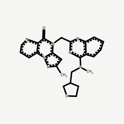 Cc1cc2n(Cc3nc(N(C)CC4CCOC4)c4ccccc4n3)c(=O)c3ncccc3n2n1